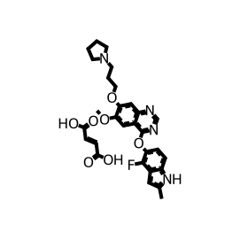 COc1cc2c(Oc3ccc4[nH]c(C)cc4c3F)ncnc2cc1OCCCN1CCCC1.O=C(O)C=CC(=O)O